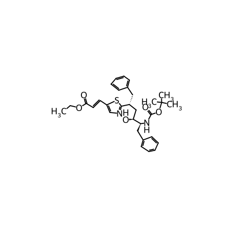 CCOC(=O)C=Cc1cnc([C@H](Cc2ccccc2)C[C@H](O)[C@H](Cc2ccccc2)NC(=O)OC(C)(C)C)s1